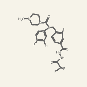 CN1CCN(C(=O)N(Cc2ccc(C(=O)NNC(=O)C(F)F)cc2F)c2ccc(F)c(Cl)c2)CC1